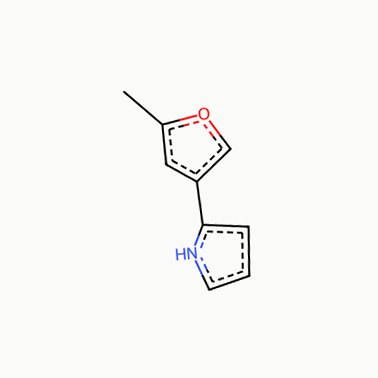 Cc1cc(-c2ccc[nH]2)co1